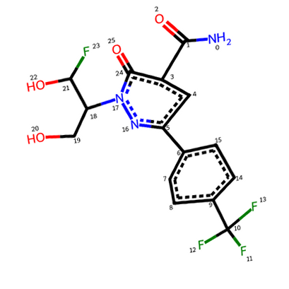 NC(=O)c1cc(-c2ccc(C(F)(F)F)cc2)nn(C(CO)C(O)F)c1=O